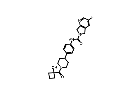 O=C(Nc1ccc(C2CCN(C(=O)C3(O)CCC3)CC2)cc1)N1Cc2cc(F)cnc2C1